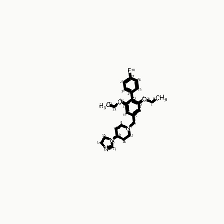 CCOc1cc(CN2CCC(N3C=NCC3)CC2)cc(OCC)c1-c1ccc(F)cc1